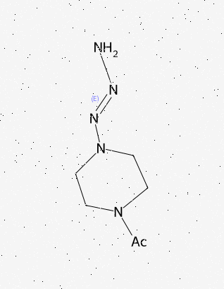 CC(=O)N1CCN(/N=N/N)CC1